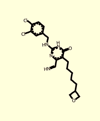 N=Cc1nc(NCc2ccc(Cl)c(Cl)c2)[nH]c(=O)c1CCCCCC1COC1